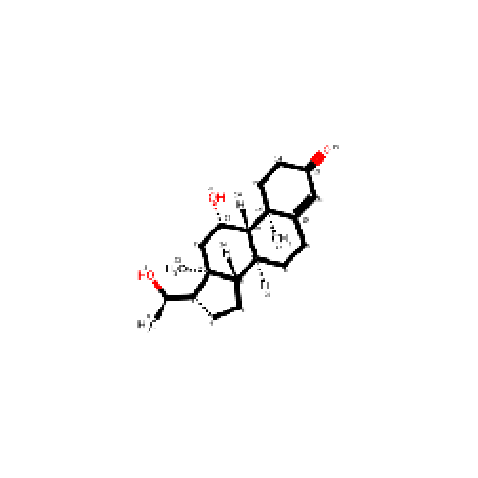 C[C@@H](O)[C@H]1CC[C@H]2[C@@H]3CCC4=CC(=O)CC[C@]4(C)[C@H]3[C@@H](O)C[C@]12C